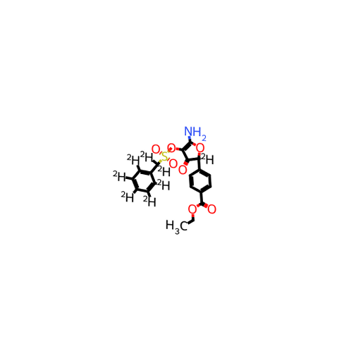 [2H]c1c([2H])c([2H])c(C([2H])([2H])S(=O)(=O)OC2=C(N)O[C@]([2H])(c3ccc(C(=O)OCC)cc3)C2=O)c([2H])c1[2H]